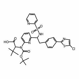 CC(C)(C)OC(=O)N(c1cccc(C(Cc2ccc(-c3ncc(Cl)s3)cc2)NS(=O)(=O)c2ccccn2)n1)C(C(=O)O)C(C)(C)C